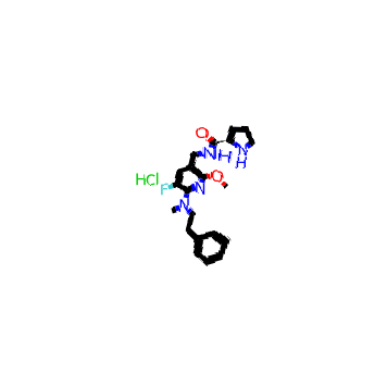 COc1nc(N(C)CCc2ccccc2)c(F)cc1CNC(=O)[C@@H]1CCCN1.Cl